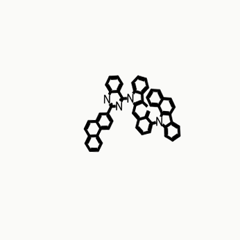 C=c1c(-n2c3ccccc3c3ccc4ccccc4c32)ccc/c1=C/c1c(C)c2ccccc2n1-c1nc(-c2ccc3c(ccc4ccccc43)c2)nc2ccccc12